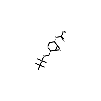 CC(C)(C)[Si](C)(C)OC[C@H]1OC[C@H](NC(=O)O)C2OC21